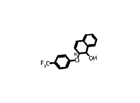 OC1c2ccccc2C=C[C@@H]1Oc1ccc(C(F)(F)F)cc1